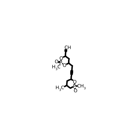 C#CC1CC(CC#CC2CC(C)CP(C)(=O)O2)OP(C)(=O)O1